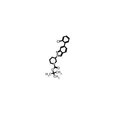 CC(C)(C)OC(=O)N1CCCC(n2cc3ccc(-c4ccccc4Cl)cc3n2)C1